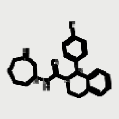 O=C(N[C@@H]1CCCCNC1)N1CCc2ccccc2[C@@H]1c1ccc(F)cc1